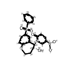 O=c1ccc([N+](=O)[O-])cn1[C@@H]1c2cc(S(=O)(=O)c3ccccc3)ccc2OCC[C@H]1O